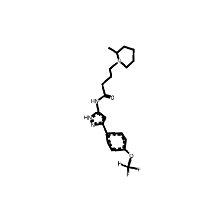 CC1CCCCN1CCCC(=O)Nc1cc(-c2ccc(OC(F)(F)F)cc2)n[nH]1